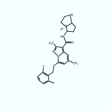 Cc1cc(OCc2c(F)cccc2F)n2nc(C)c(C(=O)NC3CCC4NCC[C@@H]43)c2c1